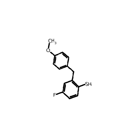 COc1ccc(Cc2cc(F)ccc2S)cc1